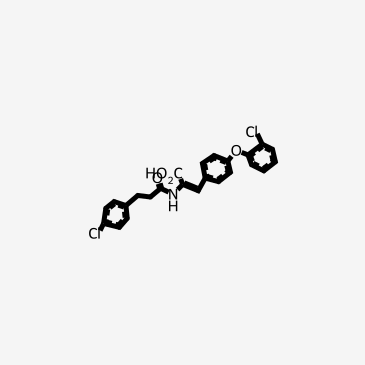 O=C(CCc1ccc(Cl)cc1)N/C(=C/c1ccc(Oc2ccccc2Cl)cc1)C(=O)O